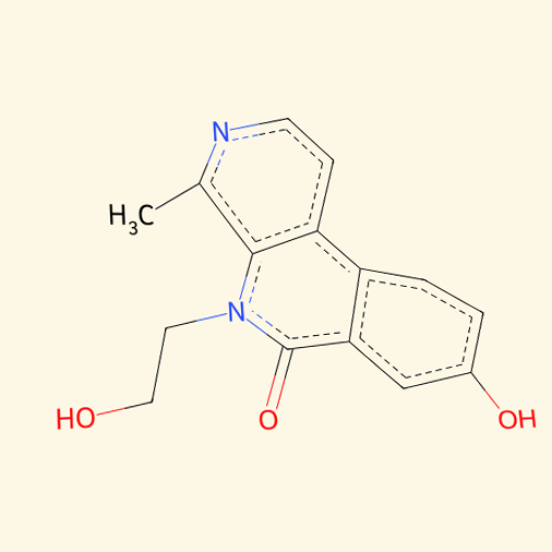 Cc1nccc2c3ccc(O)cc3c(=O)n(CCO)c12